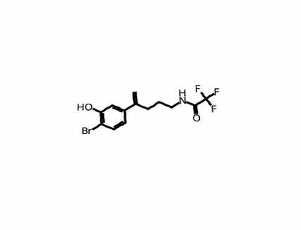 C=C(CCCNC(=O)C(F)(F)F)c1ccc(Br)c(O)c1